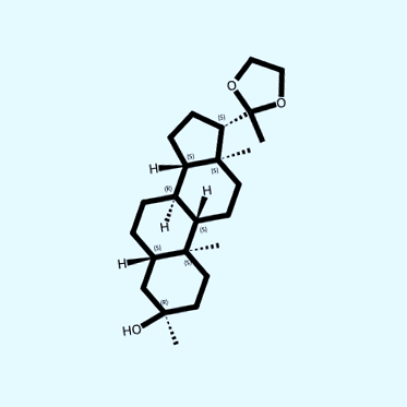 CC1([C@H]2CC[C@H]3[C@@H]4CC[C@H]5C[C@](C)(O)CC[C@]5(C)[C@H]4CC[C@]23C)OCCO1